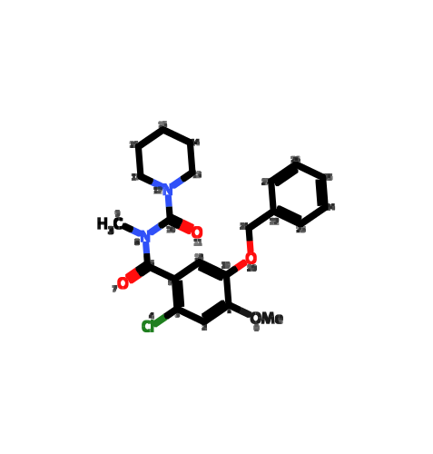 COc1cc(Cl)c(C(=O)N(C)C(=O)N2CCCCC2)cc1OCc1ccccc1